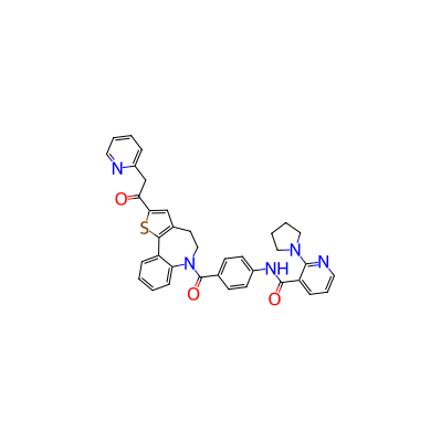 O=C(Cc1ccccn1)c1cc2c(s1)-c1ccccc1N(C(=O)c1ccc(NC(=O)c3cccnc3N3CCCC3)cc1)CC2